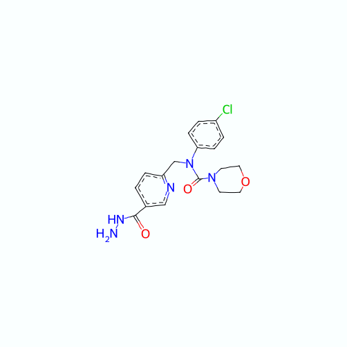 NNC(=O)c1ccc(CN(C(=O)N2CCOCC2)c2ccc(Cl)cc2)nc1